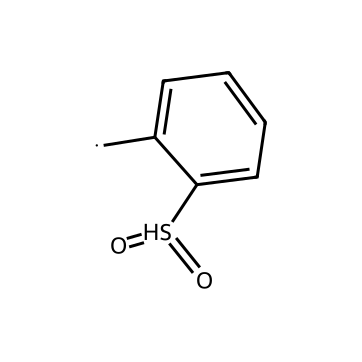 [CH2]c1ccccc1[SH](=O)=O